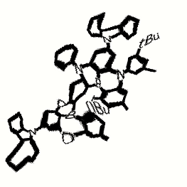 CCCCc1cc(C)cc2c1B1c3cc4c(cc3Oc3cc(-n5c6ccccc6c6ccccc65)cc(c31)O2)N(c1ccccc1)c1cc(-n2c3ccccc3c3ccccc32)cc2c1B4c1c(I)cc(C)cc1N2c1cc(C)cc(C(C)(C)C)c1